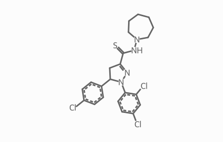 S=C(NN1CCCCCC1)C1=NN(c2ccc(Cl)cc2Cl)C(c2ccc(Cl)cc2)C1